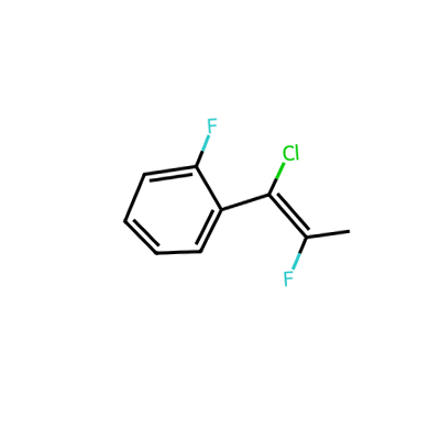 CC(F)=C(Cl)c1ccccc1F